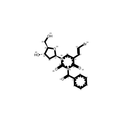 O=C(c1ccccc1)n1c(=O)c(C=CBr)cn([C@H]2C[C@H](O)[C@@H](CO)O2)c1=O